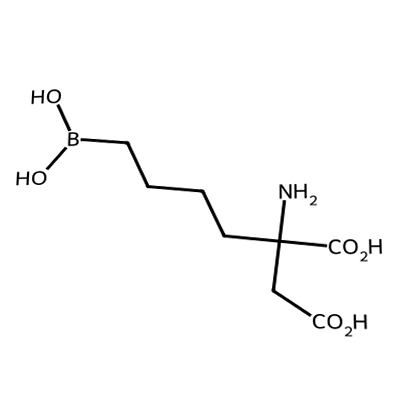 NC(CCCCB(O)O)(CC(=O)O)C(=O)O